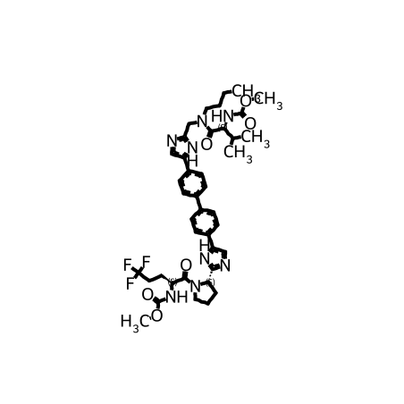 CCCCN(Cc1ncc(-c2ccc(-c3ccc(-c4cnc([C@@H]5CCCN5C(=O)[C@H](CCC(F)(F)F)NC(=O)OC)[nH]4)cc3)cc2)[nH]1)C(=O)[C@@H](NC(=O)OC)C(C)C